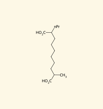 CCCC(CCCCCCC(C)C(=O)O)C(=O)O